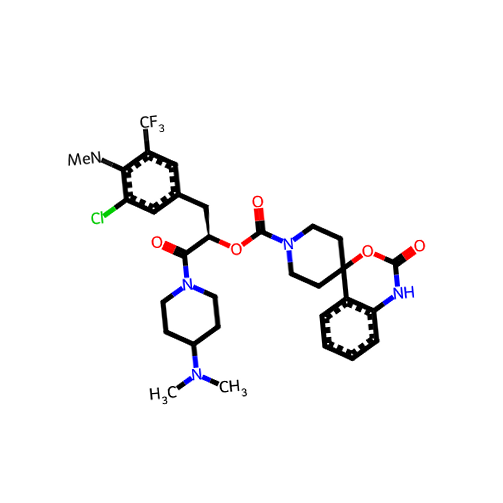 CNc1c(Cl)cc(C[C@@H](OC(=O)N2CCC3(CC2)OC(=O)Nc2ccccc23)C(=O)N2CCC(N(C)C)CC2)cc1C(F)(F)F